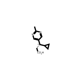 Cc1ncc([C@@H](CC(=O)O)C2CC2)cn1